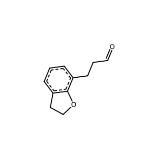 O=CCCc1cccc2c1OCC2